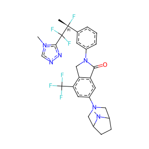 CN1C2CCC1CN(c1cc3c(c(C(F)(F)F)c1)CN(c1cccc([C@@](C)(F)C(F)(F)c4nncn4C)c1)C3=O)C2